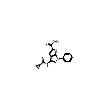 COC(=O)c1cc2c(NC(=O)C3CC3)nn(-c3ccccc3)c2s1